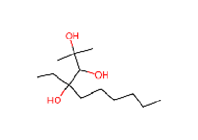 CCCCCCC(O)(CC)C(O)C(C)(C)O